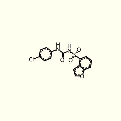 O=C(Nc1ccc(Cl)cc1)NS(=O)(=O)c1cccc2occc12